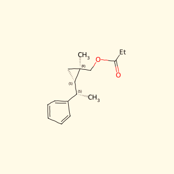 CCC(=O)OC[C@]1(C)C[C@H]1[C@H](C)c1ccccc1